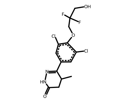 CC1CC(=O)NN=C1c1cc(Cl)c(OCC(F)(F)CO)c(Cl)c1